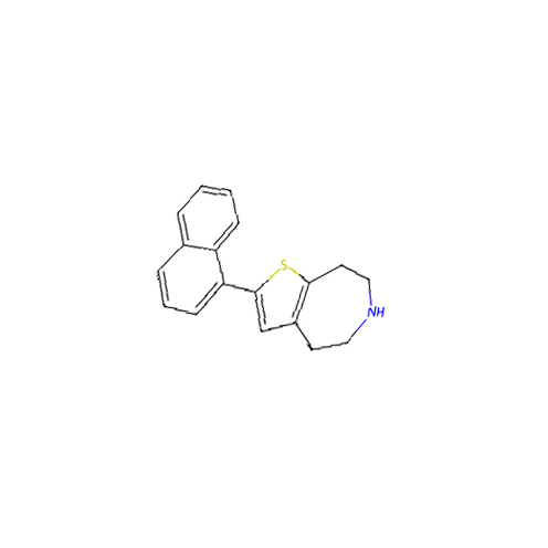 c1ccc2c(-c3cc4c(s3)CCNCC4)cccc2c1